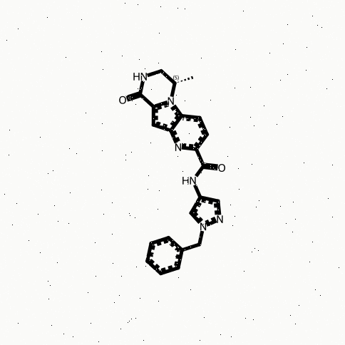 C[C@H]1CNC(=O)c2cc3nc(C(=O)Nc4cnn(Cc5ccccc5)c4)ccc3n21